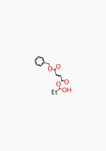 CCC(O)OC(=O)C=CC(=O)OCc1ccccc1